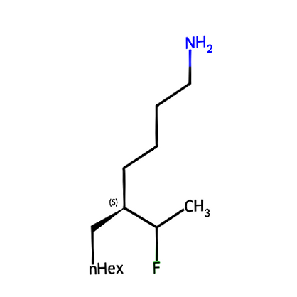 CCCCCCC[C@@H](CCCCN)C(C)F